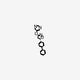 c1ccc(-c2ccc([C@@H]3CC(Oc4cncnc4)=NO3)cc2)cc1